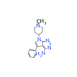 CN1CCC(n2cc(-c3ccccc3)c3c(N)ncnc32)CC1